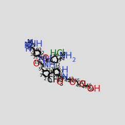 Cc1ccc(C[C@H](NC(=O)[C@H]2CC[C@H](CN)CC2)C(=O)Nc2ccc(-c3nnn[nH]3)cc2)cc1-c1cccc(C(=O)NCCOCCOCCO)c1.Cl